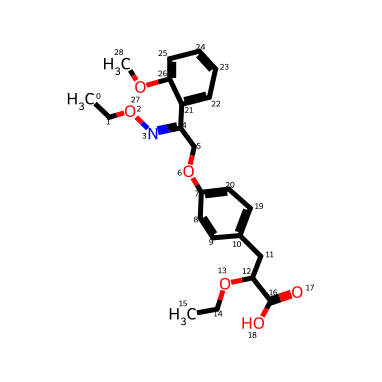 CCON=C(COc1ccc(CC(OCC)C(=O)O)cc1)c1ccccc1OC